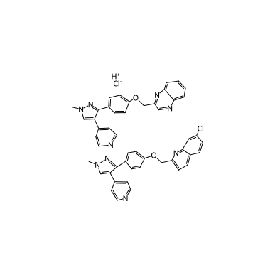 Cn1cc(-c2ccncc2)c(-c2ccc(OCc3ccc4ccc(Cl)cc4n3)cc2)n1.Cn1cc(-c2ccncc2)c(-c2ccc(OCc3cnc4ccccc4n3)cc2)n1.[Cl-].[H+]